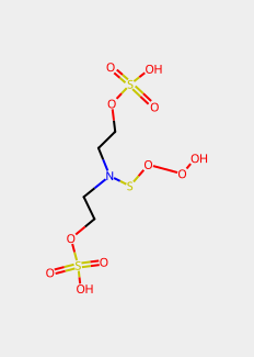 O=S(=O)(O)OCCN(CCOS(=O)(=O)O)SOOO